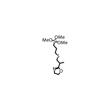 CO[Si](CCCSCC(C)C1=NCCO1)(OC)OC